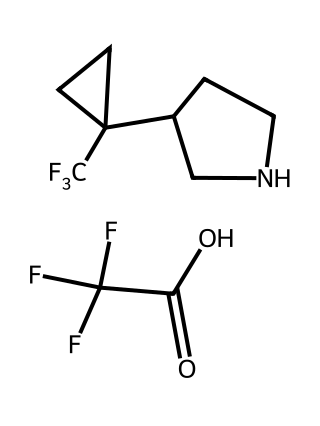 FC(F)(F)C1(C2CCNC2)CC1.O=C(O)C(F)(F)F